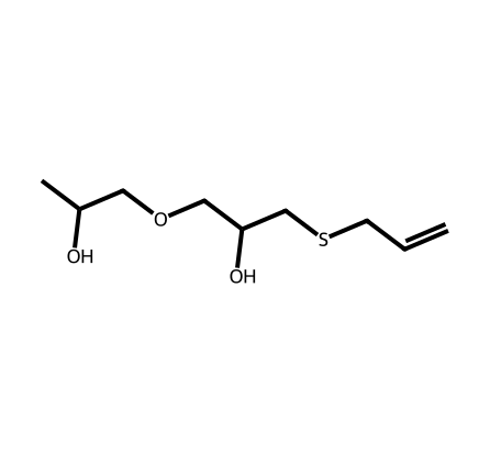 C=CCSCC(O)COCC(C)O